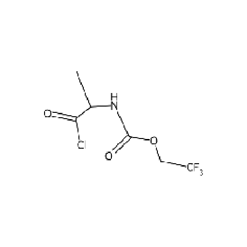 CC(NC(=O)OCC(F)(F)F)C(=O)Cl